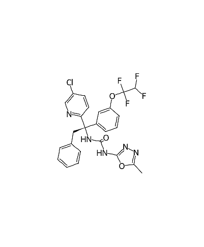 Cc1nnc(NC(=O)N[C@@](Cc2ccccc2)(c2cccc(OC(F)(F)C(F)F)c2)c2ccc(Cl)cn2)o1